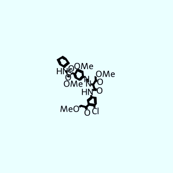 COCC(=O)c1cc(NC(=O)C(N=Nc2cc(OC)c(S(=O)(=O)Nc3ccccc3)cc2OC)C(=O)COC)ccc1Cl